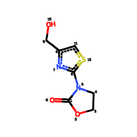 O=C1OCCN1c1nc(CO)cs1